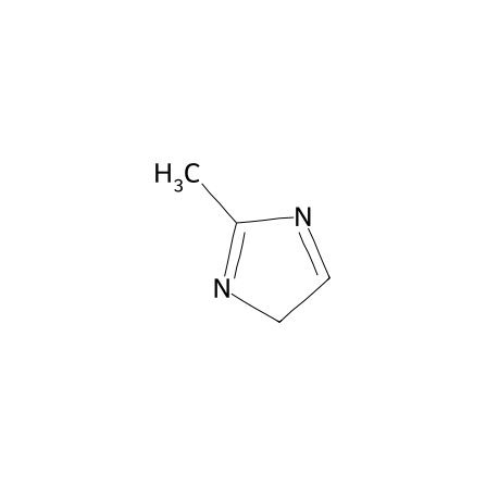 CC1=NCC=N1